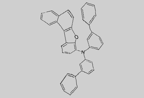 c1ccc(-c2cccc(N(c3cccc(-c4ccccc4)c3)c3cccc4c3oc3ccc5ccccc5c34)c2)cc1